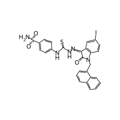 NS(=O)(=O)c1ccc(NC(=S)NN=C2C(=O)N(Cc3cccc4ccccc34)c3ccc(I)cc32)cc1